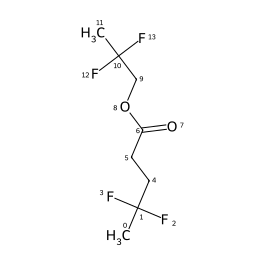 CC(F)(F)CCC(=O)OCC(C)(F)F